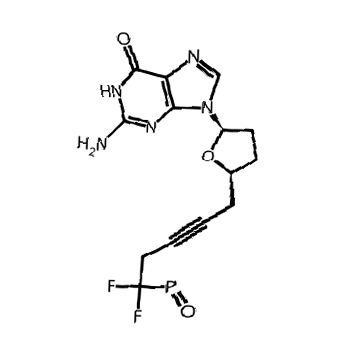 Nc1nc2c(ncn2[C@H]2CC[C@@H](CC#CCC(F)(F)P=O)O2)c(=O)[nH]1